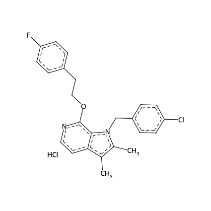 Cc1c(C)n(Cc2ccc(Cl)cc2)c2c(OCCc3ccc(F)cc3)nccc12.Cl